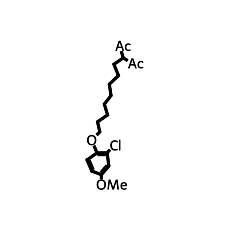 COc1ccc(OCCCCCCCCC(C(C)=O)C(C)=O)c(Cl)c1